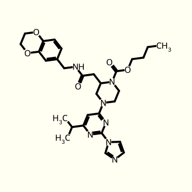 CCCCOC(=O)N1CCN(c2cc(C(C)C)nc(-n3ccnc3)n2)CC1CC(=O)NCc1ccc2c(c1)OCCO2